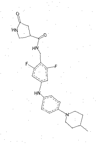 CC1CCN(c2ccc(Nc3cc(F)c(CNC(=O)C4CNC(=O)C4)c(F)c3)cc2)CC1